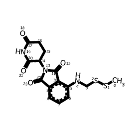 CSSCNc1cccc2c1C(=O)N(C1CCC(=O)NC1=O)C2=O